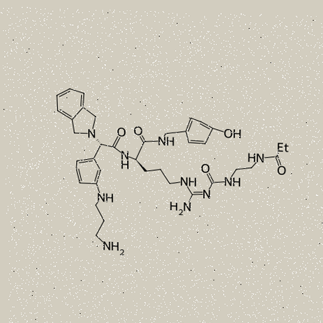 CCC(=O)NCCNC(=O)/N=C(/N)NCCC[C@@H](NC(=O)[C@H](c1cccc(NCCCN)c1)N1Cc2ccccc2C1)C(=O)NCc1ccc(O)cc1